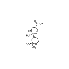 CC1(C)CN(C2(C)N=CC(C(=O)O)=CN2)CCO1